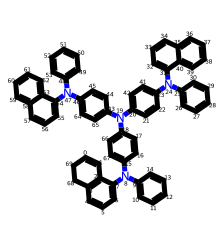 C1=Cc2c(cccc2N(c2ccccc2)c2ccc(N(c3ccc(N(c4ccccc4)c4cccc5ccccc45)cc3)c3ccc(N(c4ccccc4)c4cccc5ccccc45)cc3)cc2)CC1